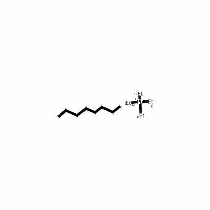 CCCCCCCC.C[CH2][Pb]([CH2]C)([CH2]C)[CH2]C